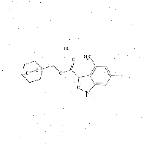 Cc1cc(F)cc2[nH]cc(C(=O)OCC34CCN(CC3)CC4)c12.Cl